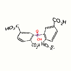 O=C(O)c1ccc(C(=O)O)c(P(=O)(O)c2cc(C(=O)O)ccc2C(=O)O)c1